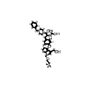 C[Si](C)(C)CCOCn1cc(CO)c2c(Oc3ccc(CC(NC(=O)O)C(=O)N4CCN(Cc5ccccc5)CC4)cc3F)ccnc21